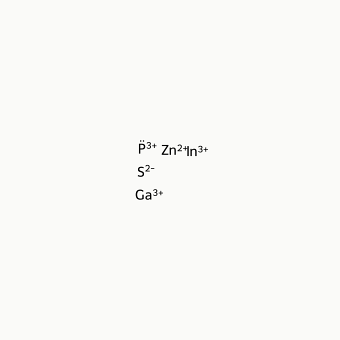 [Ga+3].[In+3].[P+3].[S-2].[Zn+2]